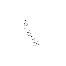 NS(=O)(=O)c1cccc(C[C@H](NC(=O)c2c(Cl)cc3c(c2Cl)CCN(C(=O)c2ccc4ccoc4c2)C3)C(=O)O)c1